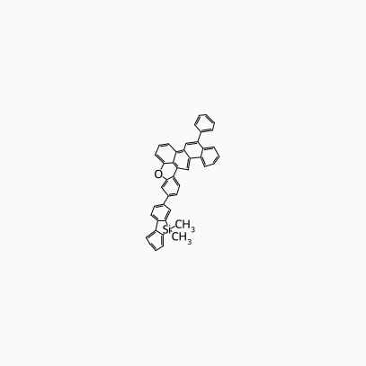 C[Si]1(C)c2ccccc2-c2ccc(-c3ccc4c(c3)Oc3cccc5c3c-4cc3c4ccccc4c(-c4ccccc4)cc53)cc21